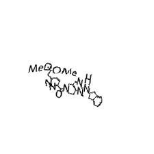 COC(Cc1ccc(C(=O)N2CCc3nc(NC4Cc5ccccc5C4)ncc3C2)nn1)OC